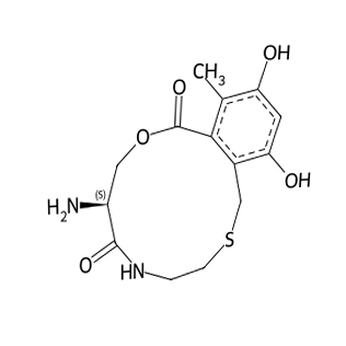 Cc1c(O)cc(O)c2c1C(=O)OC[C@H](N)C(=O)NCCSC2